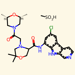 CS(=O)(=O)O.C[C@@H]1CN(C(=O)CN2CC(C)(C)OCC2C(=O)Nc2cc(Cl)cc3c2[nH]c2cnccc23)C[C@H](C)O1